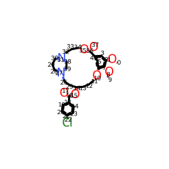 COc1cc2cc(c1OC)OCCCC(OC(=O)c1ccc(Cl)cc1)CCN1CCCN(CCCOC2=O)CC1